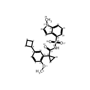 COc1ccc(C2CCC2)cc1C1(C(=O)NS(=O)(=O)c2cccc3c2ccn3C)CC1